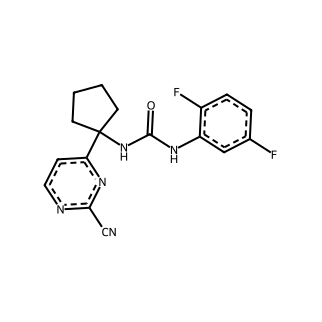 N#Cc1nccc(C2(NC(=O)Nc3cc(F)ccc3F)CCCC2)n1